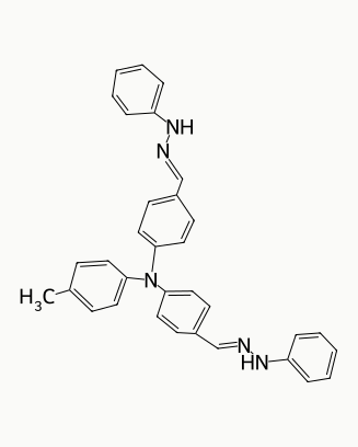 Cc1ccc(N(c2ccc(/C=N/Nc3ccccc3)cc2)c2ccc(/C=N/Nc3ccccc3)cc2)cc1